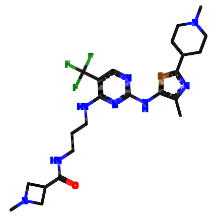 Cc1nc(C2CCN(C)CC2)sc1Nc1ncc(C(F)(F)F)c(NCCCNC(=O)C2CN(C)C2)n1